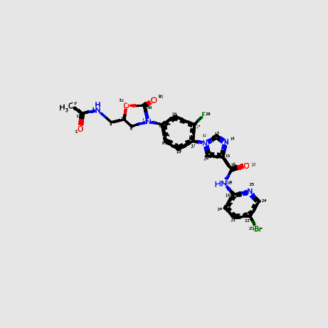 CC(=O)NCC1CN(c2ccc(-n3cnc(C(=O)Nc4ccc(Br)cn4)c3)c(F)c2)C(=O)O1